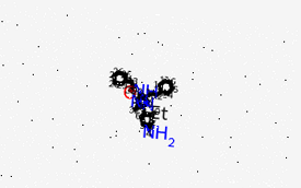 CCc1cc(N)ccc1-c1nc(CCC2CCCCC2)c(NC(=O)CC2CCCCC2)nc1C